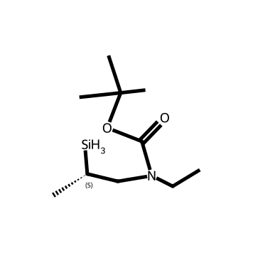 CCN(C[C@H](C)[SiH3])C(=O)OC(C)(C)C